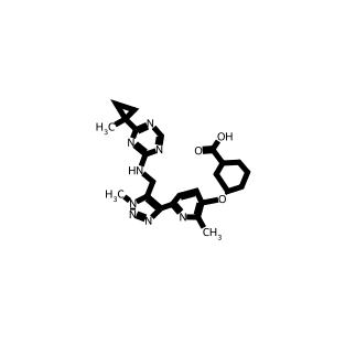 Cc1nc(-c2nnn(C)c2CNc2ncnc(C3(C)CC3)n2)ccc1O[C@H]1CCCC(C(=O)O)C1